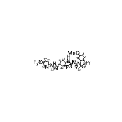 COc1ccc(C(C)C)c(N2C(=O)CSC2=NC(=O)Nc2ccc(-c3ncn(-c4ccc(C(F)(F)F)cn4)n3)cc2F)c1